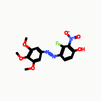 COc1cc(/N=N/c2ccc(O)c([N+](=O)[O-])c2F)cc(OC)c1OC